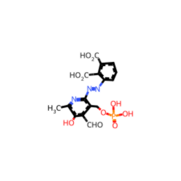 Cc1nc(N=Nc2cccc(C(=O)O)c2C(=O)O)c(COP(=O)(O)O)c(C=O)c1O